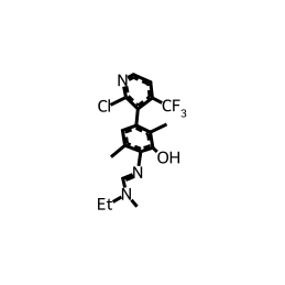 CCN(C)C=Nc1c(C)cc(-c2c(C(F)(F)F)ccnc2Cl)c(C)c1O